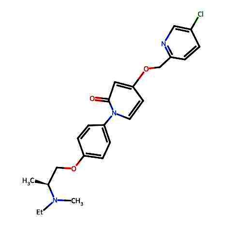 CCN(C)[C@@H](C)COc1ccc(-n2ccc(OCc3ccc(Cl)cn3)cc2=O)cc1